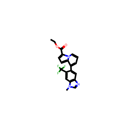 CCOC(=O)c1ccc2c(-c3cc4ncn(C)c4cc3C(F)(F)F)cccn12